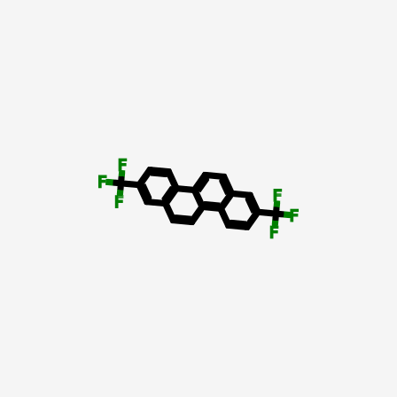 FC(F)(F)c1ccc2c(ccc3c4ccc(C(F)(F)F)cc4ccc23)c1